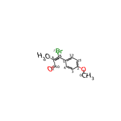 COc1ccc(/C(Br)=C(/C)C=O)cc1